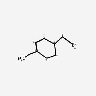 CC1CCC(CBr)CC1